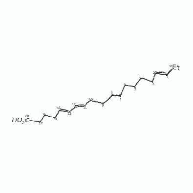 CC/C=C/CCCCCCCC/C=C/C=C/CCCC(=O)O